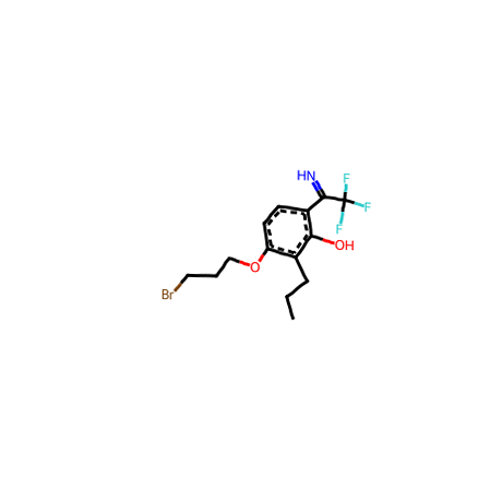 CCCc1c(OCCCBr)ccc(C(=N)C(F)(F)F)c1O